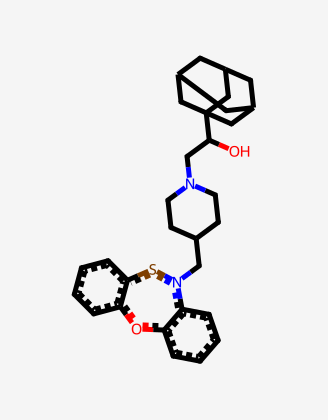 OC(CN1CCC(Cn2sc3ccccc3oc3ccccc32)CC1)C12CC3CC(CC(C3)C1)C2